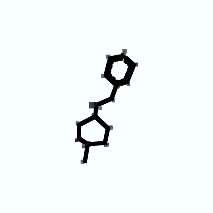 CN1CCC(NCc2ccncc2)CC1